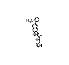 Cc1ccccc1-c1ccc2nc(N)c(CCC(=O)NCc3nccs3)cc2c1